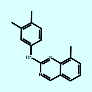 Cc1ccc(Nc2ncc3cccc(C)c3n2)cc1C